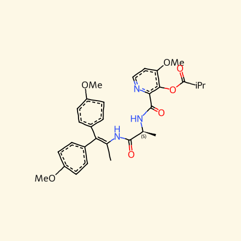 COc1ccc(C(=C(C)NC(=O)[C@H](C)NC(=O)c2nccc(OC)c2OC(=O)C(C)C)c2ccc(OC)cc2)cc1